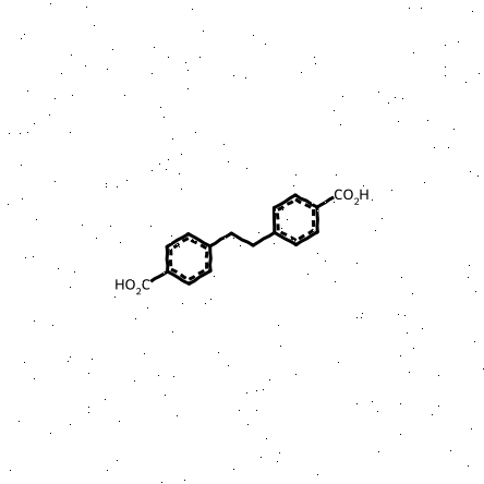 O=C(O)c1ccc(CCc2ccc(C(=O)O)cc2)cc1